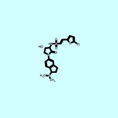 CN(C)C1CCc2cc(N3CCC(NS(=O)(=O)/C=C/c4ccc(Cl)s4)C3=O)ccc21.Cl